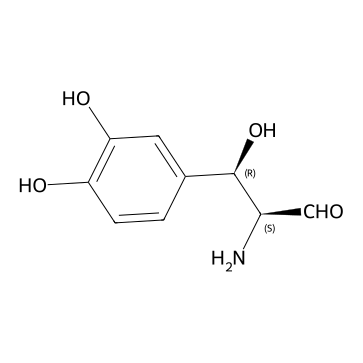 N[C@H](C=O)[C@H](O)c1ccc(O)c(O)c1